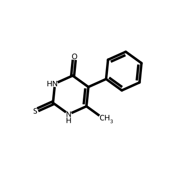 Cc1[nH]c(=S)[nH]c(=O)c1-c1ccccc1